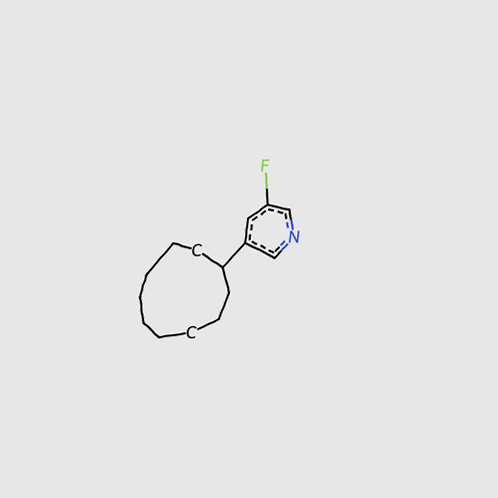 Fc1cncc(C2CCCCCCCCC2)c1